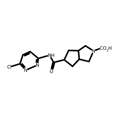 O=C(Nc1ccc(Cl)nn1)C1CC2CN(C(=O)O)CC2C1